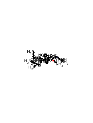 N#Cc1ccc(C[C@H](NC(=O)[C@@H]2CCCN2C(=O)[C@@H](CCCN)NC(=O)CNC(=O)[C@H](CCN)NC(=O)[C@@H](NC(=O)[C@@H](N)CCCCN)[C@@H](O)CN)C(=O)N[C@@H](CCCCN)C(=O)N/C(=C\CCNC(=N)N)C(=O)O)cc1